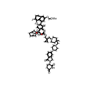 CCc1c(F)ccc2cc(OCOC)cc(-c3ncc4c(N5CC6CCC(C5)N6C(=O)OC(C)(C)C)nc(OCC5(CN6CCC(C)(CN7CCN(c8ccc9c(c8)CN([C@@H]8CCC(=O)NC8=O)C9=O)CC7)CC6)CC5)nc4c3F)c12